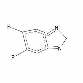 Fc1cc2c(cc1F)=NCN=2